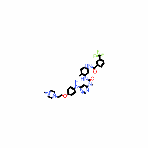 Cc1ccc(NC(=O)c2cccc(C(F)(F)F)c2)cc1NC(=O)N(C)c1cc(Nc2ccc(OCCN3CCN(C)CC3)cc2)ncn1